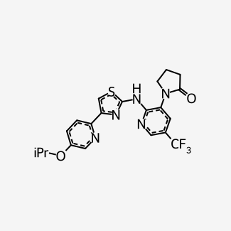 CC(C)Oc1ccc(-c2csc(Nc3ncc(C(F)(F)F)cc3N3CCCC3=O)n2)nc1